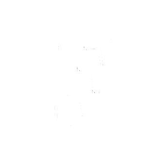 Fc1cc(Nc2c[c]ccc2)nc(F)n1